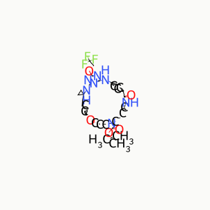 CC(C)(C)OC(=O)N1CCCCNC(=O)c2ccc(cc2)Nc2nc(nc(OCC(F)(F)F)n2)NC2(CC2)c2ccc(cc2)OCCC1